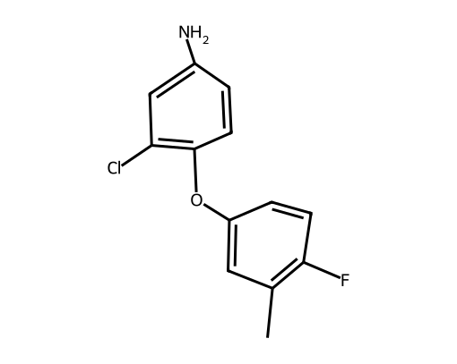 Cc1cc(Oc2ccc(N)cc2Cl)ccc1F